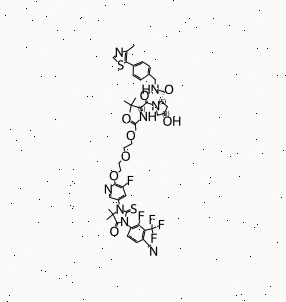 Cc1ncsc1-c1ccc(CNC(=O)[C@@H]2C[C@@H](O)CN2C(=O)[C@@H](NC(=O)COCCOCCOc2ncc(N3C(=S)N(c4ccc(C#N)c(C(F)(F)F)c4F)C(=O)C3(C)C)cc2F)C(C)(C)C)cc1